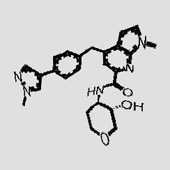 Cn1cc(-c2ccc(Cc3cc(C(=O)N[C@@H]4CCOC[C@H]4O)nc4c3ccn4C)cc2)cn1